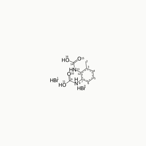 Br.Br.Cc1cccc(NC(=O)O)c1NC(=O)O